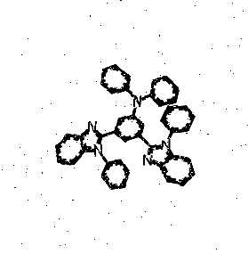 c1ccc(N(c2ccccc2)c2cc(-c3nc4ccccc4n3-c3ccccc3)cc(-c3nc4ccccc4n3-c3ccccc3)c2)cc1